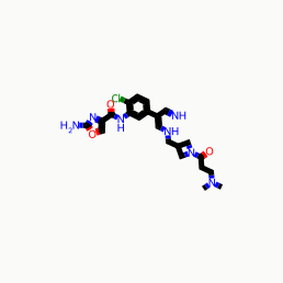 CN(C)CCC(=O)N1CC(CN/C=C(\C=N)c2ccc(Cl)c(NC(=O)c3coc(N)n3)c2)C1